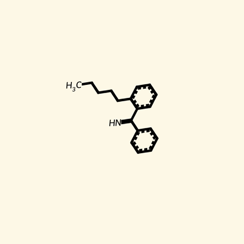 CCCCCc1ccccc1C(=N)c1ccccc1